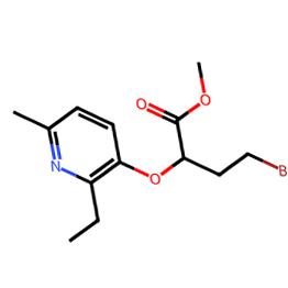 CCc1nc(C)ccc1OC(CCBr)C(=O)OC